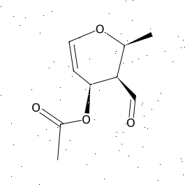 CC(=O)O[C@H]1C=CO[C@@H](C)[C@H]1C=O